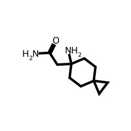 NC(=O)CC1(N)CCC2(CC1)CC2